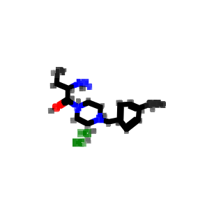 COc1ccc(CN2CCN(C(=O)[C@H](N)CC(C)C)CC2)cc1.Cl.Cl